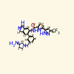 NC1CCN(Cc2cccc(-c3cc4cn[nH]c4cc3NC(=O)c3csc(-c4cc(C(F)(F)F)n[nH]4)n3)c2)C1